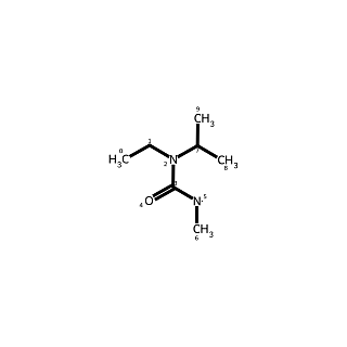 CCN(C(=O)[N]C)C(C)C